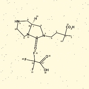 CC(C)(CCN1C[C@@H]2CNCCN2C1=O)C(=O)O.O=C(O)C(F)(F)F